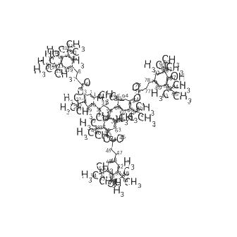 Cc1cc(OC(=O)CCc2cc(C(C)(C)C)c(O)c(C(C)(C)C)c2)c(C(C)(C)C)cc1C(C)CC(c1cc(C(C)(C)C)c(OC(=O)CCc2cc(C(C)(C)C)c(O)c(C(C)(C)C)c2)cc1C)c1cc(C(C)(C)C)c(OC(=O)CCc2cc(C(C)(C)C)c(O)c(C(C)(C)C)c2)cc1C